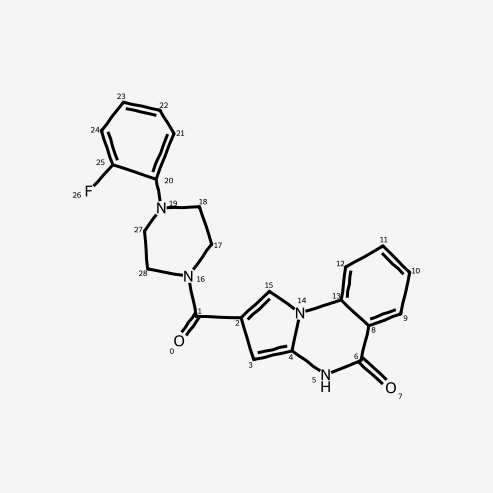 O=C(c1cc2[nH]c(=O)c3ccccc3n2c1)N1CCN(c2ccccc2F)CC1